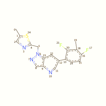 Cc1cnc(Cn2ncc3ncc(-c4ccc(F)c(C)c4F)cc32)s1